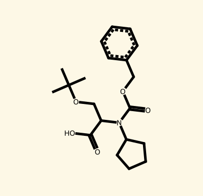 CC(C)(C)OCC(C(=O)O)N(C(=O)OCc1ccccc1)C1CCCC1